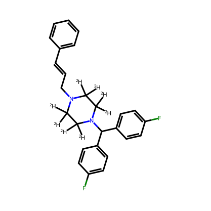 [2H]C1([2H])N(C/C=C/c2ccccc2)C([2H])([2H])C([2H])([2H])N(C(c2ccc(F)cc2)c2ccc(F)cc2)C1([2H])[2H]